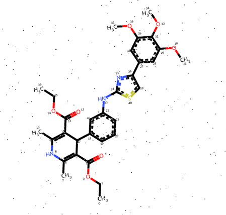 CCOC(=O)C1=C(C)NC(C)=C(C(=O)OCC)C1c1cccc(Nc2nc(-c3cc(OC)c(OC)c(OC)c3)cs2)c1